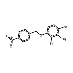 CCc1c(OCc2c[c]c([SH](=O)=O)cc2)ccc(C(C)=O)c1O